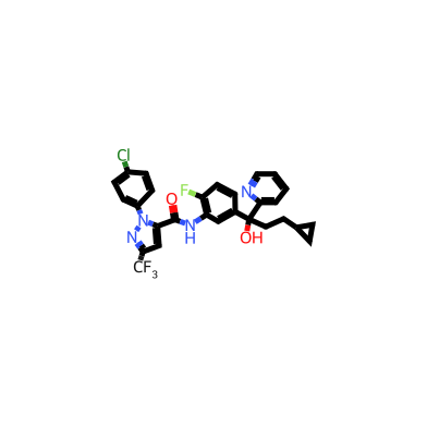 O=C(Nc1cc(C(O)(CCC2CC2)c2ccccn2)ccc1F)c1cc(C(F)(F)F)nn1-c1ccc(Cl)cc1